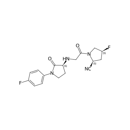 N#C[C@@H]1C[C@H](F)CN1C(=O)CN[C@H]1CCN(c2ccc(F)cc2)C1=O